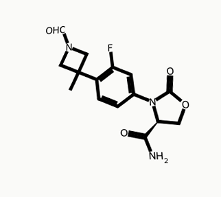 CC1(c2ccc(N3C(=O)OC[C@H]3C(N)=O)cc2F)CN(C=O)C1